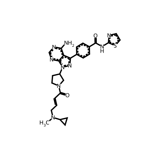 CN(CC=CC(=O)N1CCC(n2nc(-c3ccc(C(=O)Nc4nccs4)cc3)c3c(N)ncnc32)C1)C1CC1